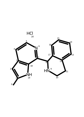 Cc1cc2ccnc(C3NCCc4ccccc43)c2[nH]1.Cl